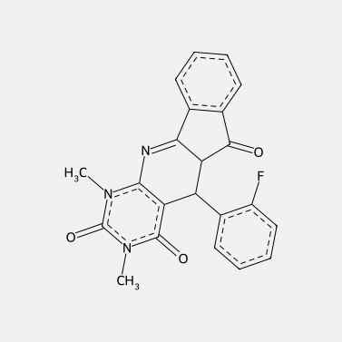 Cn1c2c(c(=O)n(C)c1=O)C(c1ccccc1F)C1C(=O)c3ccccc3C1=N2